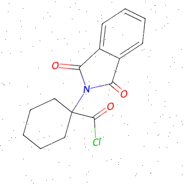 O=C1c2ccccc2C(=O)N1C1(C(=O)Cl)CCCCC1